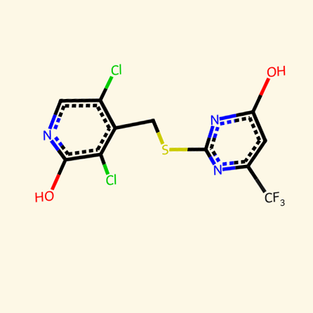 Oc1cc(C(F)(F)F)nc(SCc2c(Cl)cnc(O)c2Cl)n1